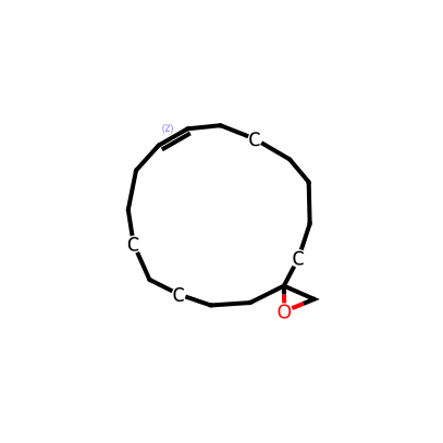 C1=C\CCCCCCC2(CCCCCCC/1)CO2